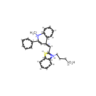 CN1C(c2ccccc2)=C/C(=C\c2sc3ccccc3[n+]2CCCS(=O)(=O)O)c2ccccc21